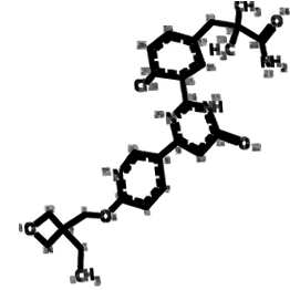 CCC1(COc2ccc(-c3cc(=O)[nH]c(-c4cc(CC(C)(C)C(N)=O)ccc4Cl)n3)cn2)COC1